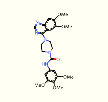 COc1cc2ncnc(N3CCN(C(=O)Nc4cc(OC)c(OC)c(OC)c4)CC3)c2cc1OC